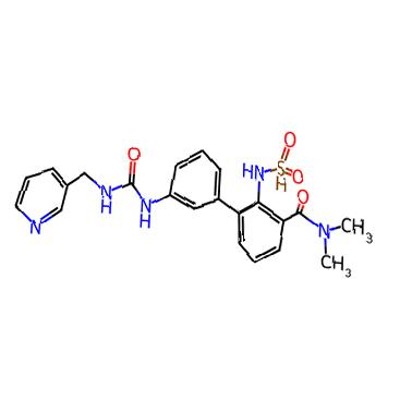 CN(C)C(=O)c1cccc(-c2cccc(NC(=O)NCc3cccnc3)c2)c1N[SH](=O)=O